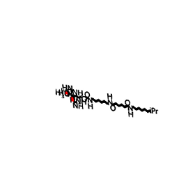 CC(C)CCCCCCNC(=O)CCCCC(=O)NCCCCCCNC(=O)OCC1NC(=N)N2CC[C@](C)(O)C23C1NC(=N)N3O